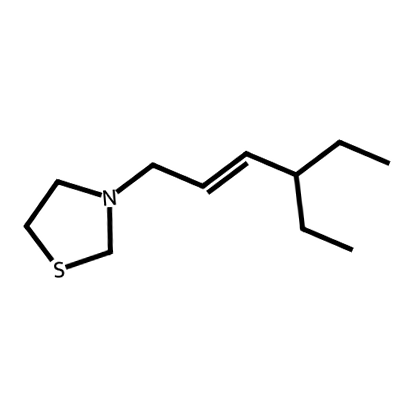 CCC(/C=C/CN1CCSC1)CC